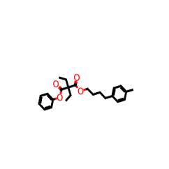 CCC(CC)(C(=O)OCCCCc1ccc(C)cc1)C(=O)Oc1ccccc1